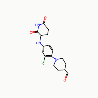 O=CC1CCN(c2ccc(NC3CCC(=O)NC3=O)cc2Cl)CC1